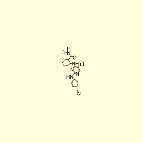 N#Cc1ccc(Nc2ncc(Cl)c(Nc3ccccc3C(=O)NC3CC3)n2)cc1